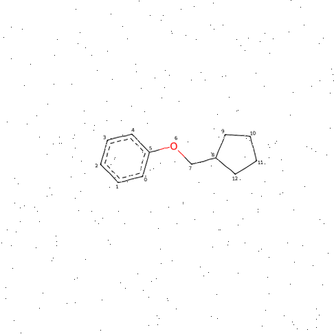 [c]1ccccc1OCC1CCCC1